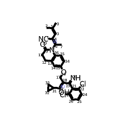 CC(C)=C/C(C#N)=C(\C)N1C(=O)CCc2cc(OC/C(C(=N)c3c(Cl)cccc3Cl)=C(/O)C3CC3)ccc21